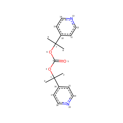 CC(C)(OC(=O)OC(C)(C)c1ccncc1)c1ccncc1